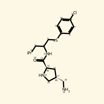 CC(C)CC(CSc1ccc(Cl)cc1)NC(=O)[C@H]1C[C@H](CN)CN1